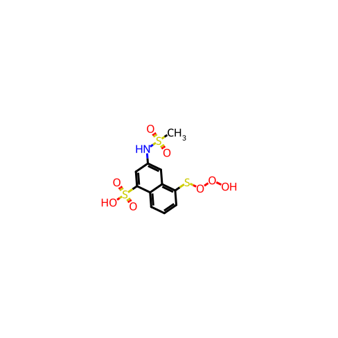 CS(=O)(=O)Nc1cc(S(=O)(=O)O)c2cccc(SOOO)c2c1